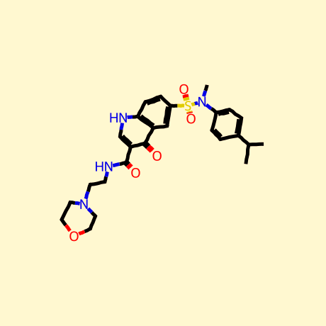 CC(C)c1ccc(N(C)S(=O)(=O)c2ccc3[nH]cc(C(=O)NCCN4CCOCC4)c(=O)c3c2)cc1